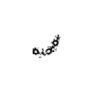 FC(F)(F)c1ccc(C2=NOC3(CCN(OC(=S)Nc4ccccc4)CC3)C2)cc1